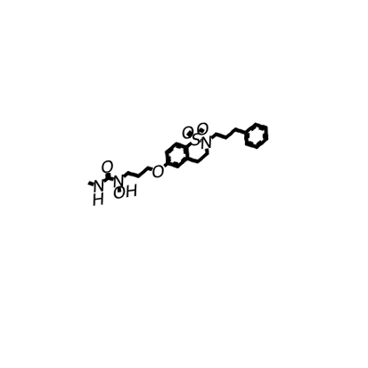 CNC(=O)N(O)CCCOc1ccc2c(c1)CCN(CCCc1ccccc1)S2(=O)=O